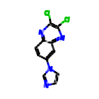 Clc1nc2ccc(-n3ccnc3)cc2nc1Cl